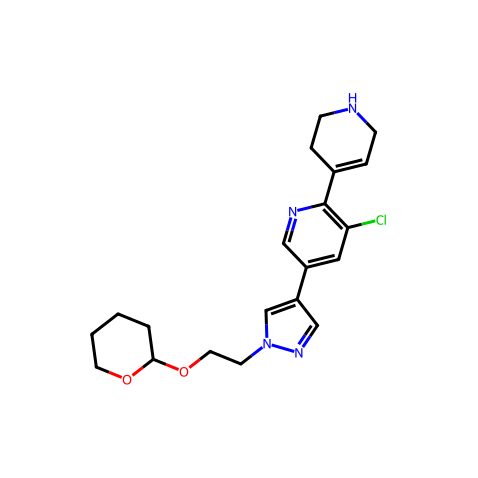 Clc1cc(-c2cnn(CCOC3CCCCO3)c2)cnc1C1=CCNCC1